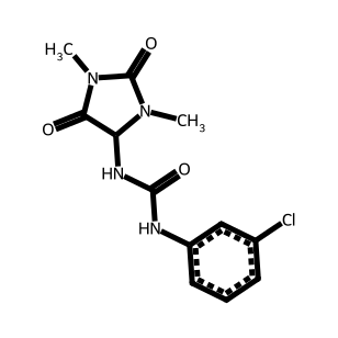 CN1C(=O)C(NC(=O)Nc2cccc(Cl)c2)N(C)C1=O